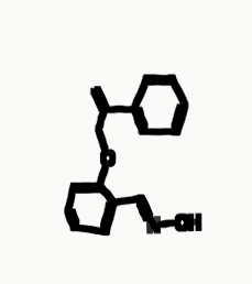 C=C(COc1ccccc1C=NO)c1ccccc1